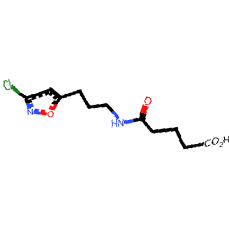 O=C(O)CCCC(=O)NCCCc1cc(Cl)no1